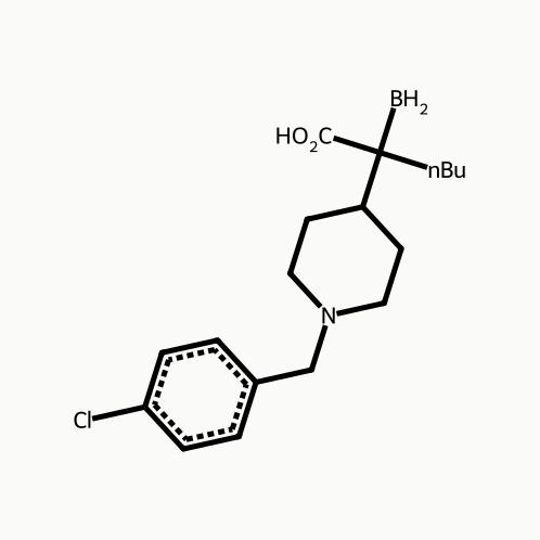 BC(CCCC)(C(=O)O)C1CCN(Cc2ccc(Cl)cc2)CC1